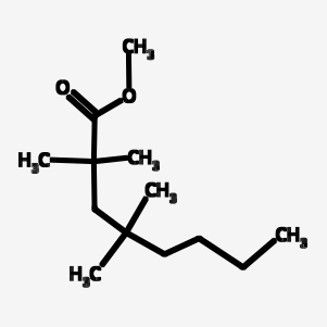 CCCCC(C)(C)CC(C)(C)C(=O)OC